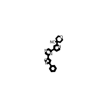 N#CC1(c2cc(-c3cncc(-c4cc(-c5ccccc5)no4)n3)ccn2)CCOCC1